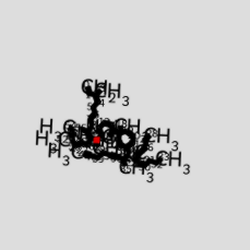 C=C/C(C)=C\C/C=C/N(C(=CCC)/C=C\C(=C)C1(C)C=CC=C(N(C(=C=CCC)/C=C\CCC)C(C)C#CCCC#CC)C=C1)/C1=C(\C)C/C=C/C(C)N(C)C1